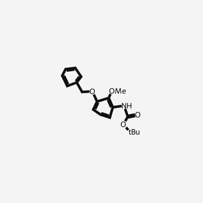 COc1c(NC(=O)OC(C)(C)C)cccc1OCc1ccccc1